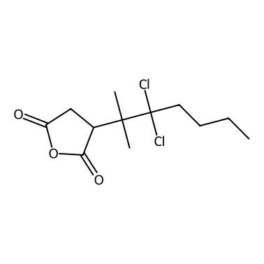 CCCCC(Cl)(Cl)C(C)(C)C1CC(=O)OC1=O